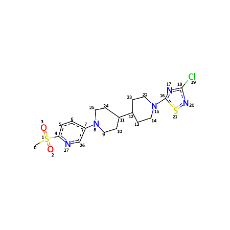 CS(=O)(=O)c1ccc(N2CCC(C3CCN(c4nc(Cl)ns4)CC3)CC2)cn1